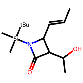 CC=CC1C(C(C)O)C(=O)N1[Si](C)(C)C(C)(C)C